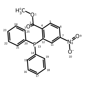 COC(=O)c1ccc([N+](=O)[O-])cc1P(c1ccccc1)c1ccccc1